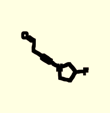 O=CCC#CN1CCC(F)C1